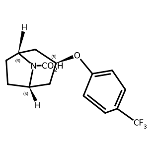 O=C(O)N1[C@@H]2CC[C@H]1C[C@H](Oc1ccc(C(F)(F)F)cc1)C2